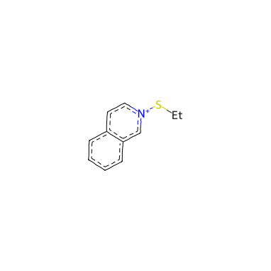 CCS[n+]1ccc2ccccc2c1